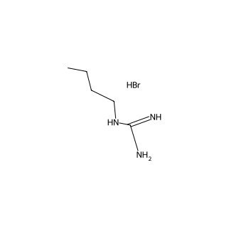 Br.CCCCNC(=N)N